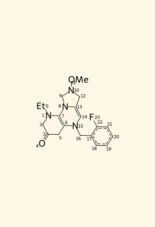 CCN1CC(=O)CC2=C1N1CN(OC)CC1=CN2Cc1ccccc1F